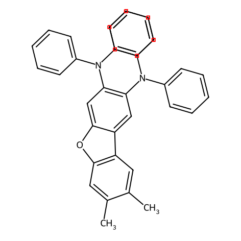 Cc1cc2oc3cc(N(c4ccccc4)c4ccccc4)c(N(c4ccccc4)c4ccccc4)cc3c2cc1C